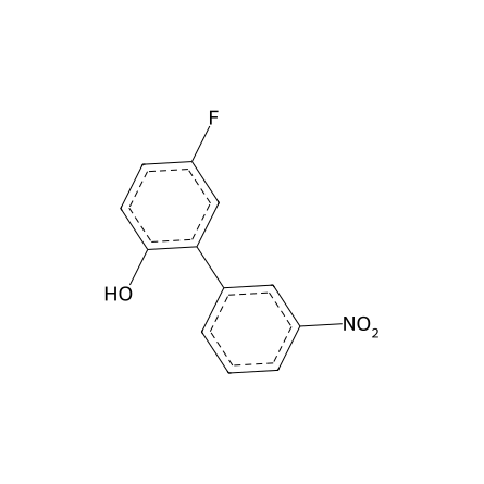 O=[N+]([O-])c1cccc(-c2cc(F)ccc2O)c1